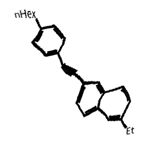 CCCCCCc1ccc(C#Cc2ccc3cc(CC)ccc3c2)cc1